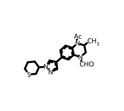 CC(=O)N1c2ccc(-c3cnn(C4CCCSC4)c3)cc2N(C=O)CC1C